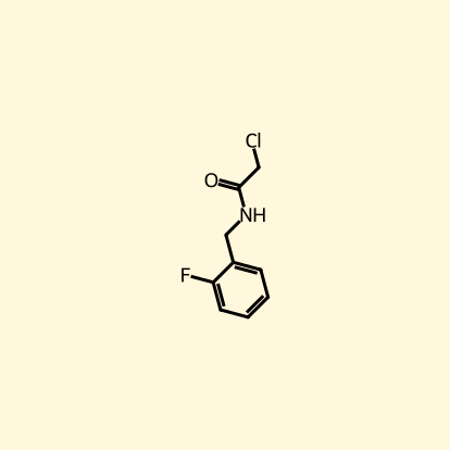 O=C(CCl)NCc1ccccc1F